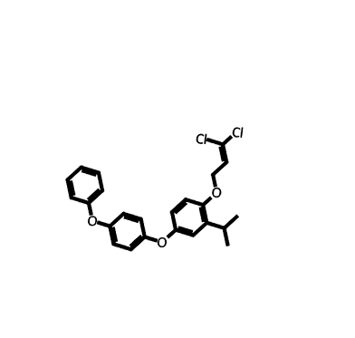 CC(C)c1cc(Oc2ccc(Oc3ccccc3)cc2)ccc1OCC=C(Cl)Cl